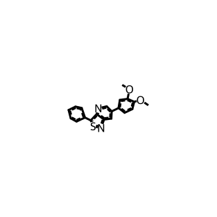 COc1ccc(-c2cnc3c(-c4ccccc4)snc3c2)cc1OC